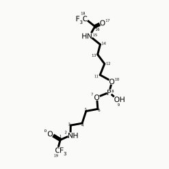 O=C(NCCCCOP(O)OCCCCNC(=O)C(F)(F)F)C(F)(F)F